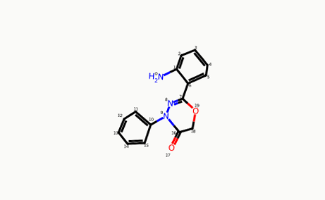 Nc1ccccc1C1=NN(c2ccccc2)C(=O)CO1